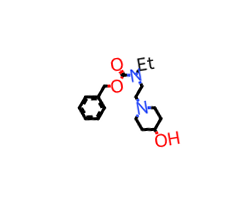 CCN(CCN1CCC(O)CC1)C(=O)OCc1ccccc1